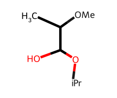 COC(C)C(O)OC(C)C